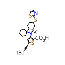 CC(=O)N(c1cc(C#CC(C)(C)C)sc1C(=O)O)C1(C2CCC(Sc3nccs3)CC2)CCCCC1